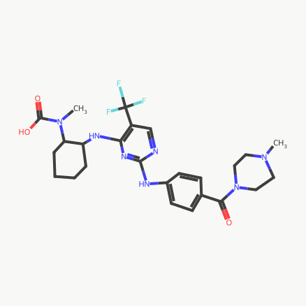 CN1CCN(C(=O)c2ccc(Nc3ncc(C(F)(F)F)c(NC4CCCCC4N(C)C(=O)O)n3)cc2)CC1